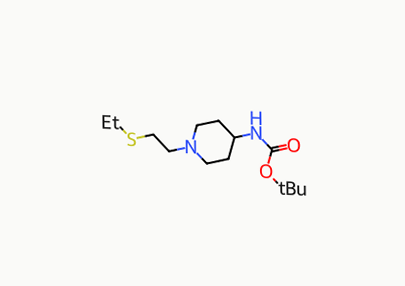 CCSCCN1CCC(NC(=O)OC(C)(C)C)CC1